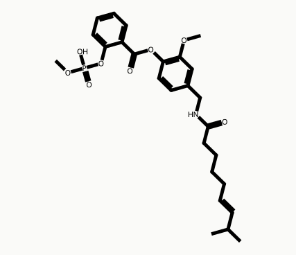 COc1cc(CNC(=O)CCCC/C=C/C(C)C)ccc1OC(=O)c1ccccc1OP(=O)(O)OC